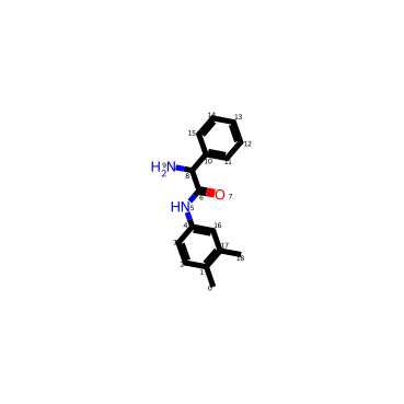 Cc1ccc(NC(=O)C(N)c2ccccc2)cc1C